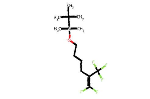 CC(C)(C)[Si](C)(C)OCCCCC(=C(F)F)C(F)(F)F